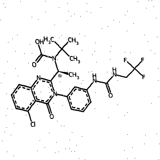 C[C@@H](c1nc2cccc(Cl)c2c(=O)n1-c1cccc(NC(=O)NCC(F)(F)F)c1)N(C(=O)O)C(C)(C)C